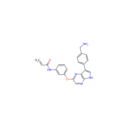 C=CC(=O)Nc1cccc(Oc2cnc3[nH]cc(-c4ccc(CN)cc4)c3n2)c1